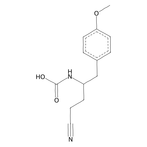 COc1ccc(CC(CCC#N)NC(=O)O)cc1